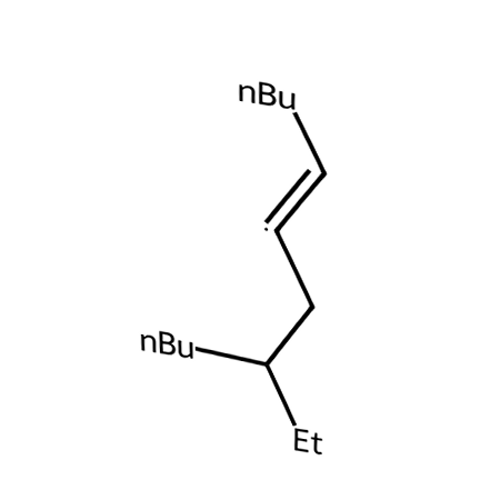 CCCC/C=[C]/CC(CC)CCCC